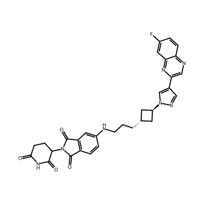 O=C1CCC(N2C(=O)c3ccc(NCCC[C@H]4C[C@H](n5cc(-c6cnc7ccc(F)cc7n6)cn5)C4)cc3C2=O)C(=O)N1